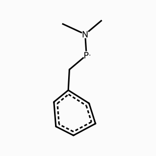 CN(C)[P]Cc1ccccc1